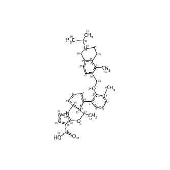 Cc1cccc(-c2cccc3[n+]2C(C)Oc2c(C(=O)O)cnn2-3)c1OCc1ccc2c(c1C)CCN(C(C)C)C2